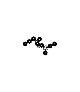 C1=CC2C(c3ccccc3N2c2cccc(-c3ccc(-c4ccccc4)cc3)c2)c2c1oc1cc(-c3nc(-c4ccccc4)nc(-c4ccc(-c5ccccc5)cc4)n3)ccc21